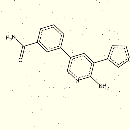 NC(=O)c1cccc(-c2cnc(N)c(-c3ccoc3)c2)c1